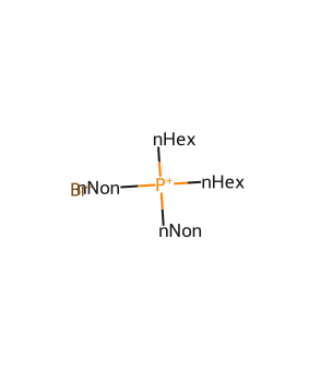 CCCCCCCCC[P+](CCCCCC)(CCCCCC)CCCCCCCCC.[Br-]